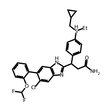 CC[SH](CC1CC1)c1ccc(C(CC(N)=O)c2nc3cc(Cl)c(-c4ccccc4OC(F)F)cc3[nH]2)cc1